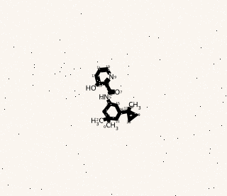 CC1(C)CC(NC(=O)c2ncccc2O)CC(C2(C)CC2)C1